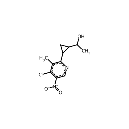 Cc1c(C2CC2C(C)O)ncc([N+](=O)[O-])c1Cl